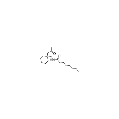 CCCCCCCC(=O)NCC1(CC(C)=O)CCCCC1